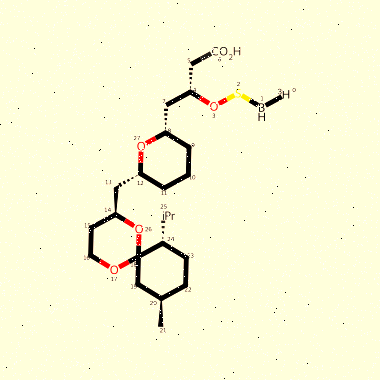 [3H]BSO[C@@H](CC(=O)O)C[C@@H]1CCC[C@H](C[C@@H]2CCOC3(C[C@H](C)CC[C@H]3C(C)C)O2)O1